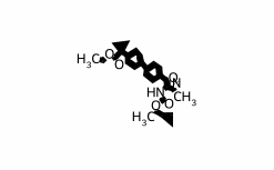 CCOC(=O)C1(c2ccc(-c3ccc(-c4onc(C)c4NC(=O)O[C@H](C)C4CC4)cc3)cc2)CC1